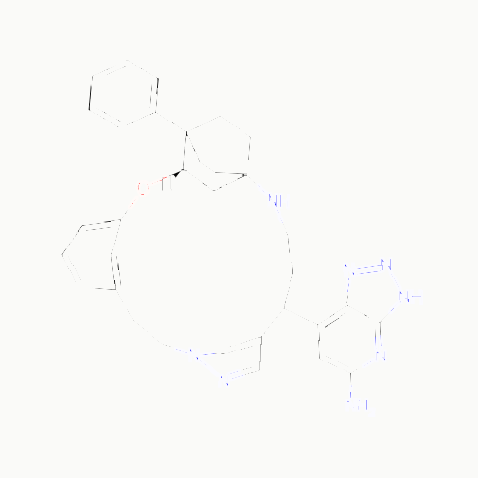 Nc1cc(C2CCNC34CCC(c5ccccc5)(CC3)[C@H](C4)Oc3cccc(c3)CCn3cc2cn3)c2nn[nH]c2n1